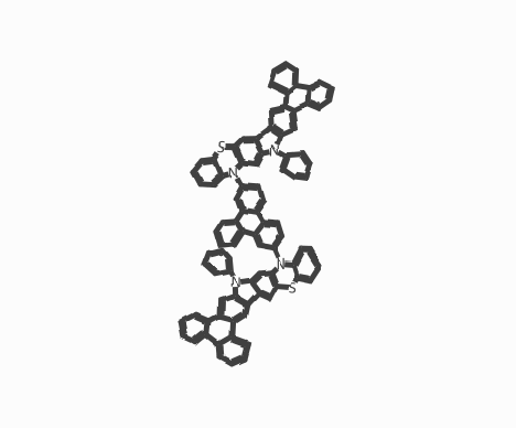 c1ccc(-n2c3cc4c(cc3c3cc5c6ccccc6c6ccccc6c5cc32)Sc2ccccc2N4c2ccc3c4ccc(N5c6ccccc6Sc6cc7c8cc9c%10ccccc%10c%10ccccc%10c9cc8n(-c8ccccc8)c7cc65)cc4c4ccccc4c3c2)cc1